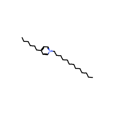 CCCCCCCCCCCCC[n+]1ccc(CCCCCC)cc1